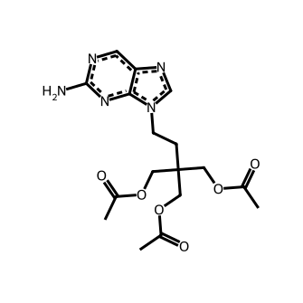 CC(=O)OCC(CCn1cnc2cnc(N)nc21)(COC(C)=O)COC(C)=O